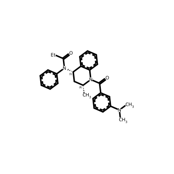 CCC(=O)N(c1ccccc1)[C@H]1C[C@@H](C)N(C(=O)c2cccc(N(C)C)c2)c2ccccc21